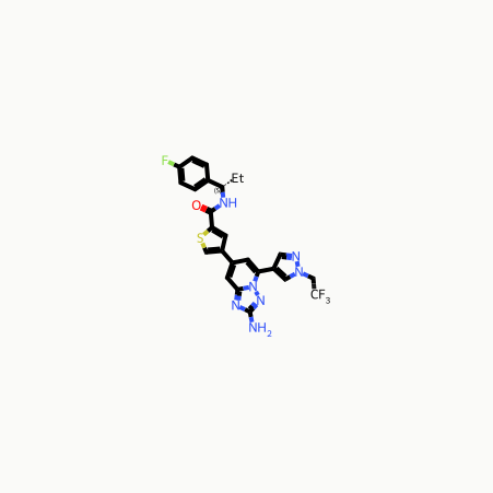 CC[C@H](NC(=O)c1cc(-c2cc(-c3cnn(CC(F)(F)F)c3)n3nc(N)nc3c2)cs1)c1ccc(F)cc1